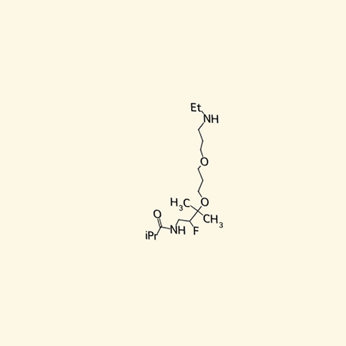 CCNCCCOCCCOC(C)(C)C(F)CNC(=O)C(C)C